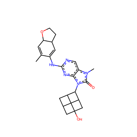 CC1=CC2OCCC2C=C1Nc1ncc2c(n1)n(C1C3CC4CC5(O)CC1C435)c(=O)n2C